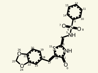 O=c1[nH]/c(=C\NS(=O)(=O)c2ccccc2)s/c1=C\c1ccc2c(c1)OCO2